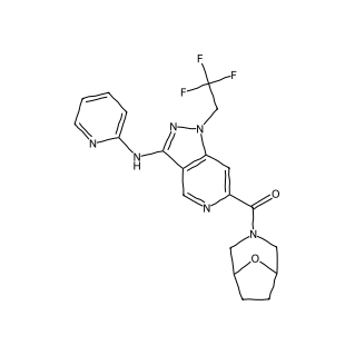 O=C(c1cc2c(cn1)c(Nc1ccccn1)nn2CC(F)(F)F)N1CC2CCC(C1)O2